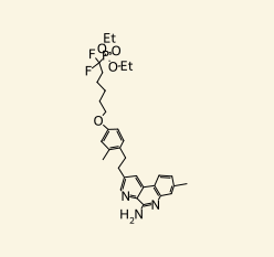 CCOP(=O)(OCC)C(F)(F)CCCCCOc1ccc(CCc2cnc3c(N)nc4cc(C)ccc4c3c2)c(C)c1